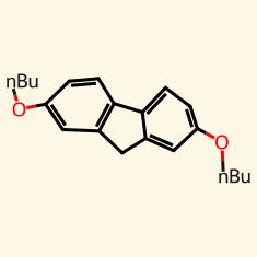 CCCCOc1ccc2c(c1)Cc1cc(OCCCC)ccc1-2